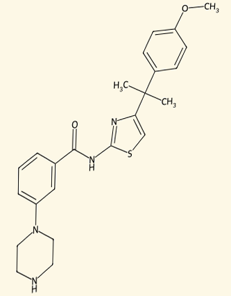 COc1ccc(C(C)(C)c2csc(NC(=O)c3cccc(N4CCNCC4)c3)n2)cc1